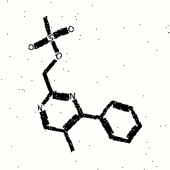 Cc1cnc(COS(C)(=O)=O)nc1-c1ccccc1